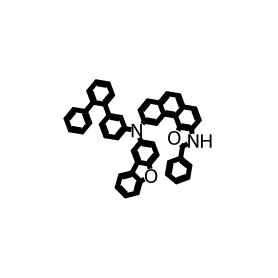 c1ccc(-c2ccccc2-c2cccc(N(c3ccc4oc5ccccc5c4c3)c3ccc4ccc5ccc6c(c5c4c3)OC(c3ccccc3)N6)c2)cc1